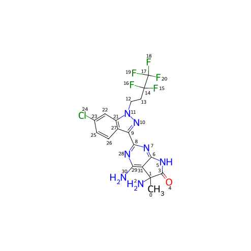 CC1(N)C(=O)Nc2nc(-c3nn(CCC(F)(F)C(F)(F)F)c4cc(Cl)ccc34)nc(N)c21